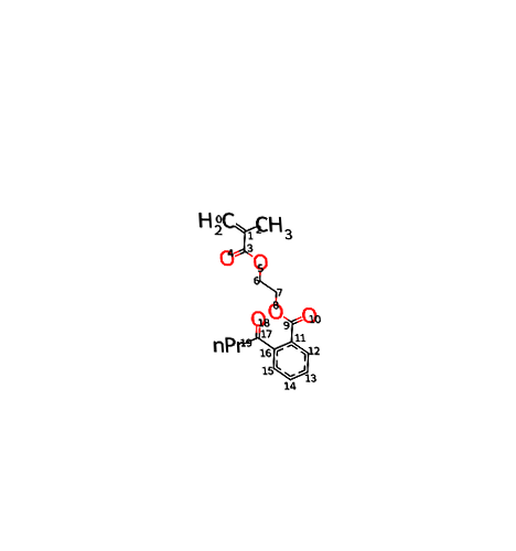 C=C(C)C(=O)OCCOC(=O)c1ccccc1C(=O)CCC